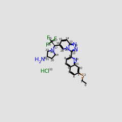 CCSc1ccc2ccc(-c3nnc4ccc([C@@H](N5CC[C@H](N)C5)C(F)(F)F)cn34)nc2c1.Cl